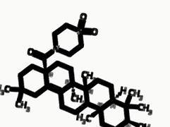 CC1(C)CC[C@]2(C(=O)N3CCS(=O)(=O)CC3)CC[C@]3(C)C(=C2C1)CCC1[C@@]2(C)CC[C@H](O)C(C)(C)[C@@H]2CC[C@]13C